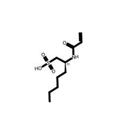 C=CC(=O)N[C@@H](CCCCC)CS(=O)(=O)O